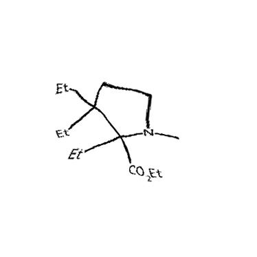 CCOC(=O)C1(CC)N(C)CCC1(CC)CC